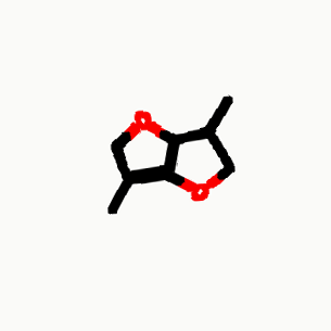 CC1=C2OCC(C)C2OC1